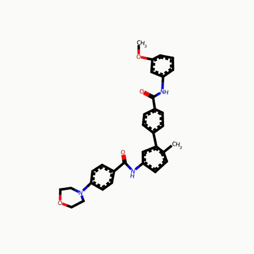 COc1cccc(NC(=O)c2ccc(-c3cc(NC(=O)c4ccc(N5CCOCC5)cc4)ccc3C)cc2)c1